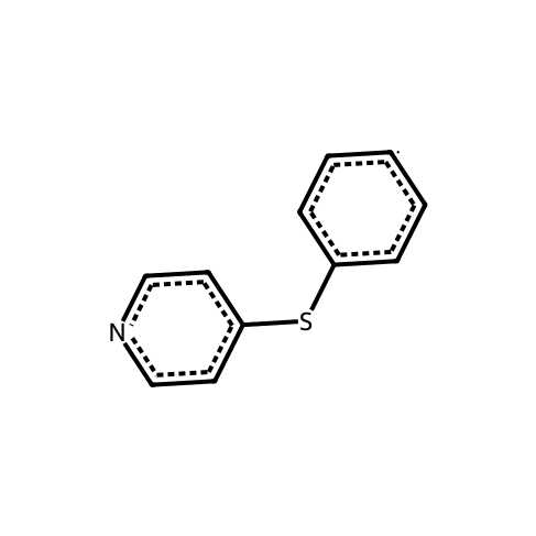 [c]1ccc(Sc2ccncc2)cc1